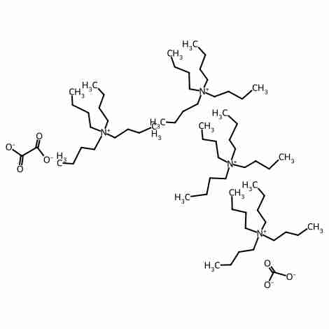 CCCC[N+](CCCC)(CCCC)CCCC.CCCC[N+](CCCC)(CCCC)CCCC.CCCC[N+](CCCC)(CCCC)CCCC.CCCC[N+](CCCC)(CCCC)CCCC.O=C([O-])C(=O)[O-].O=C([O-])[O-]